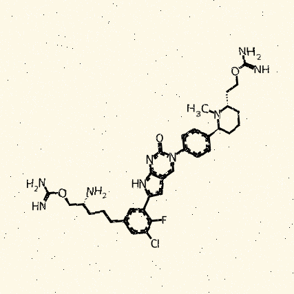 CN1[C@H](CCOC(=N)N)CCC[C@H]1c1ccc(-n2cc3cc(-c4cc(CCC[C@@H](N)COC(=N)N)cc(Cl)c4F)[nH]c3nc2=O)cc1